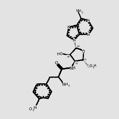 Nc1ncnc2c1ncn2[C@@H]1O[C@H](C(=O)O)[C@@H](NC(=O)C(N)Cc2ccc([N+](=O)[O-])cc2)[C@H]1O